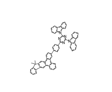 CC1(C)c2ccccc2-c2cc3c4ccccc4c4cc(-c5ccc(-c6nc(-n7c8ccccc8c8ccccc87)nc(-n7c8ccccc8c8ccccc87)n6)cc5)ccc4c3cc21